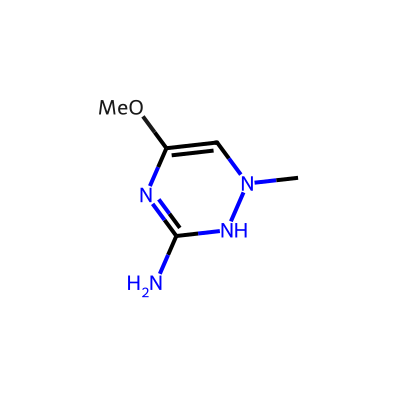 COC1=CN(C)NC(N)=N1